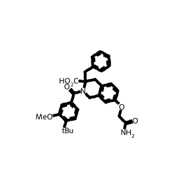 COc1cc(C(=O)N2Cc3cc(OCC(N)=O)ccc3CC2(Cc2ccccc2)C(=O)O)ccc1C(C)(C)C